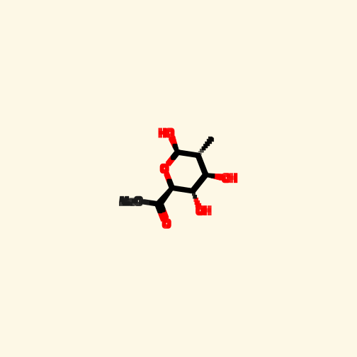 COC(=O)[C@H]1O[C@@H](O)[C@H](C)[C@@H](O)[C@@H]1O